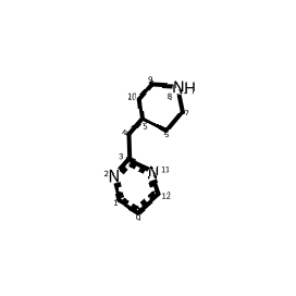 c1cnc(CC2CCNCC2)nc1